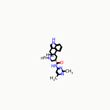 CCCN1C[C@@H](C(=O)Nc2cc(C)nc(C)n2)CC2c3cccc4[nH]cc(c34)C[C@H]21